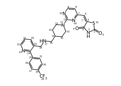 O=C1NC(=O)/C(=C\c2ccnc(N3CCC(CNCc4cccnc4-c4ccc(C(F)(F)F)cc4)CC3)n2)S1